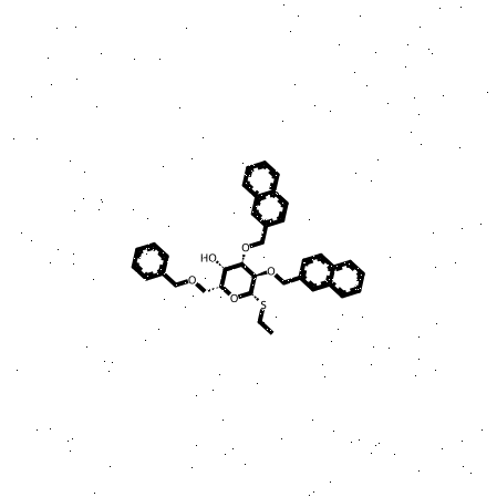 CCS[C@@H]1O[C@H](COCc2ccccc2)[C@H](O)[C@H](OCc2ccc3ccccc3c2)[C@H]1OCc1ccc2ccccc2c1